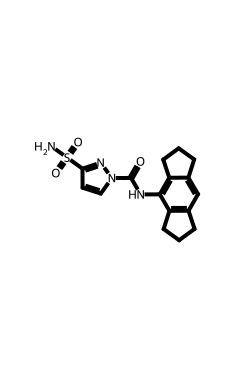 NS(=O)(=O)c1ccn(C(=O)Nc2c3c(cc4c2CCC4)CCC3)n1